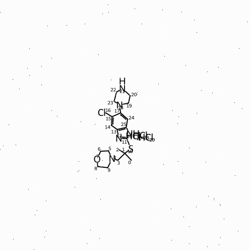 CC(C)(CN1CCOCC1)Sc1nc2cc(Cl)c(N3CCNCC3)cc2[nH]1.Cl.Cl.Cl